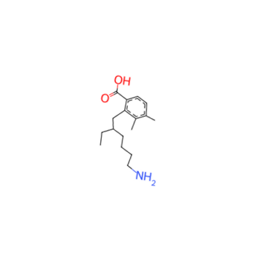 CCC(CCCCN)Cc1c(C(=O)O)ccc(C)c1C